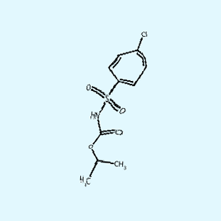 CC(C)OC(=O)NS(=O)(=O)c1ccc(Cl)cc1